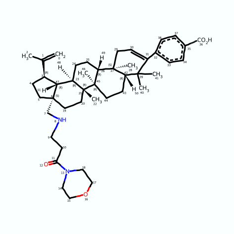 C=C(C)[C@@H]1CC[C@]2(CNCCC(=O)N3CCOCC3)CC[C@]3(C)[C@H](CC[C@@H]4[C@@]5(C)CC=C(c6ccc(C(=O)O)cc6)C(C)(C)[C@@H]5CC[C@]43C)[C@@H]12